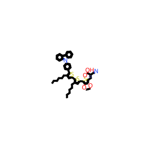 CCCCCCc1cc(-c2sc(-c3sc(/C=C(/C#N)C(=O)O)c4c3OCCO4)cc2CCCCCC)sc1-c1ccc(-n2c3ccccc3c3ccccc32)cc1